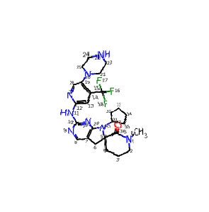 CN1CCCC2(Cc3cnc(Nc4cc(C(F)(F)F)c(N5CCNCC5)cn4)nc3N2C2CCCC2)C1=O